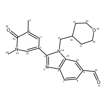 Cc1cc(-c2nc3ccc(C=O)cc3n2CC2CCOCC2)cn(C)c1=O